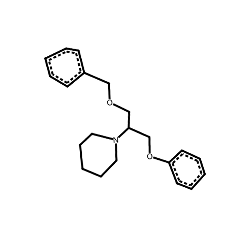 c1ccc(COCC(COc2ccccc2)N2CCCCC2)cc1